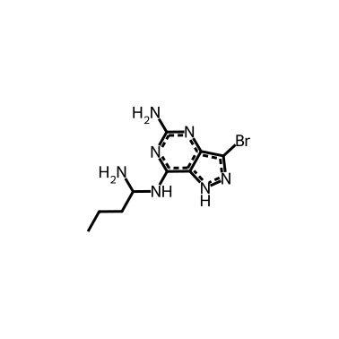 CCCC(N)Nc1nc(N)nc2c(Br)n[nH]c12